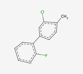 Cc1ccc(-c2ccc[c]c2F)cc1Cl